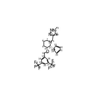 Cn1nnc(CN2CCC[C@@H](OCc3cc(C(F)(F)F)cc(C(F)(F)F)c3)[C@H]2c2ccccc2)n1